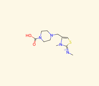 C/N=c1\scc(CN2CCN(C(=O)O)CC2)n1C